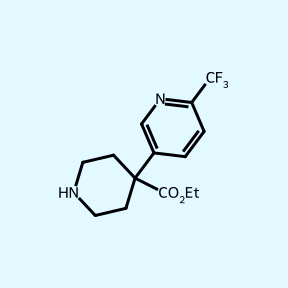 CCOC(=O)C1(c2ccc(C(F)(F)F)nc2)CCNCC1